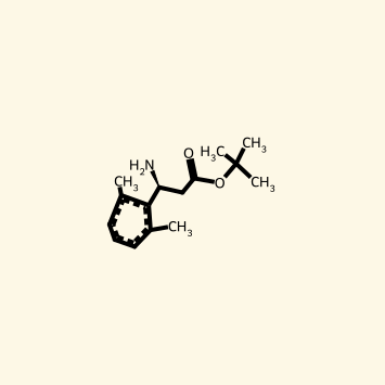 Cc1cccc(C)c1[C@@H](N)CC(=O)OC(C)(C)C